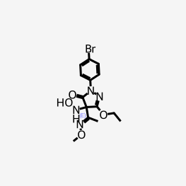 CCOC1=NN(c2ccc(Br)cc2)C(=O)C1(NO)/C(C)=N/OC